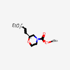 CCOC(=O)C=C[C@H]1CN(C(=O)OC(C)(C)C)CCO1